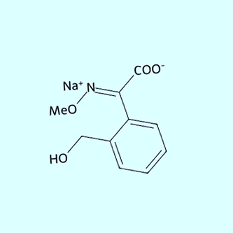 CO/N=C(/C(=O)[O-])c1ccccc1CO.[Na+]